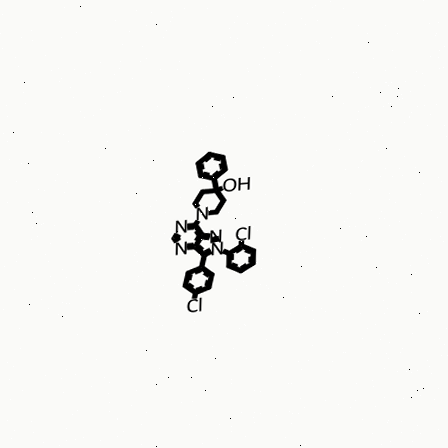 OC1(c2ccccc2)CCN(c2ncnc3c(-c4ccc(Cl)cc4)n(-c4ccccc4Cl)nc23)CC1